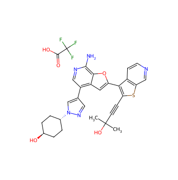 CC(C)(O)C#Cc1sc2cnccc2c1-c1cc2c(-c3cnn([C@H]4CC[C@H](O)CC4)c3)cnc(N)c2o1.O=C(O)C(F)(F)F